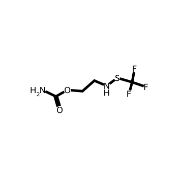 NC(=O)OCCNSC(F)(F)F